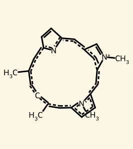 Cc1ccc(C)cc2ccc(cc3cc(cc4nc(c1)C=C4)C=[N+]3C)n2C